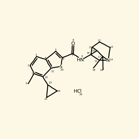 Cc1ccc2cc(C(=O)NC3C4CCN(CC4)C3(C)C)sc2c1C1CC1.Cl